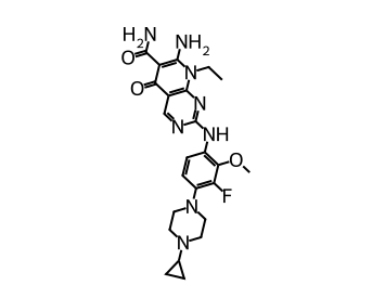 CCn1c(N)c(C(N)=O)c(=O)c2cnc(Nc3ccc(N4CCN(C5CC5)CC4)c(F)c3OC)nc21